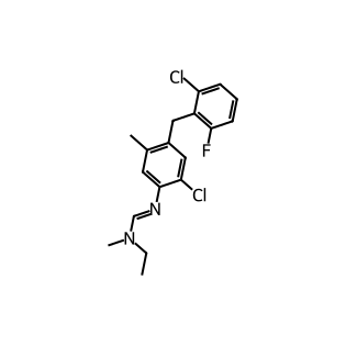 CCN(C)C=Nc1cc(C)c(Cc2c(F)cccc2Cl)cc1Cl